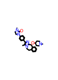 Cc1c(-c2ccc(N3CCN(C)C3=O)cc2)nc2n1CCc1ccccc1C2OC1CCN(C)CC1